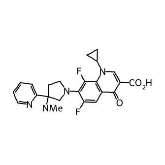 CNC1(c2ccccn2)CCN(c2c(F)cc3c(=O)c(C(=O)O)cn(C4CC4)c3c2F)C1